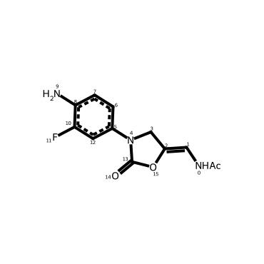 CC(=O)N/C=C1/CN(c2ccc(N)c(F)c2)C(=O)O1